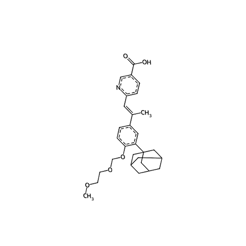 COCCOCOc1ccc(C(C)=Cc2ccc(C(=O)O)cn2)cc1C12CC3CC(CC(C3)C1)C2